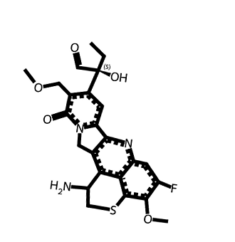 CC[C@@](O)(C=O)c1cc2n(c(=O)c1COC)Cc1c-2nc2cc(F)c(OC)c3c2c1C(N)CS3